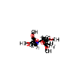 C#CCO/C(C)=C/c1ccc(C2(c3ccc(/C=C(\C)OCC#C)c(C=C)c3)C(=O)C(CCCCN3C(=O)C(c4ccc(/C=C(\C)OCC#C)c(C=C)c4)(c4ccc5cc(OCC#C)ccc5c4)c4ccccc43)c3ccccc32)cc1C=C